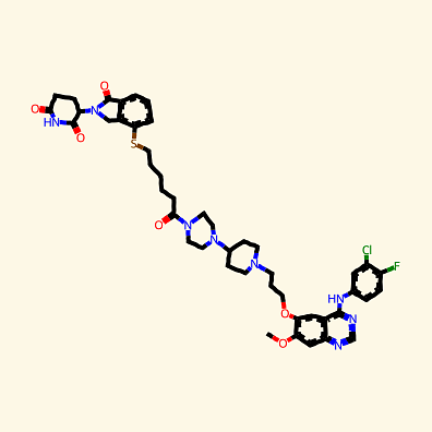 COc1cc2ncnc(Nc3ccc(F)c(Cl)c3)c2cc1OCCCN1CCC(N2CCN(C(=O)CCCCCSc3cccc4c3CN(C3CCC(=O)NC3=O)C4=O)CC2)CC1